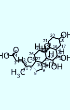 C[C@H](CCC(=O)O)[C@H]1CC[C@H]2[C@@H]3[C@H](O)[C@H](O)[C@@H]4CC(O)CC[C@]4(C)[C@H]3CC[C@]12C